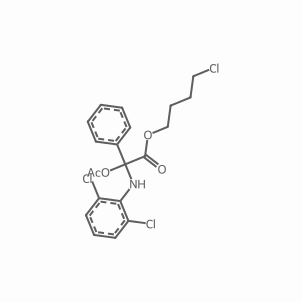 CC(=O)OC(Nc1c(Cl)cccc1Cl)(C(=O)OCCCCCl)c1ccccc1